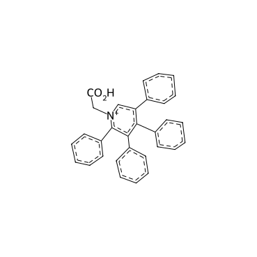 O=C(O)C[n+]1cc(-c2ccccc2)c(-c2ccccc2)c(-c2ccccc2)c1-c1ccccc1